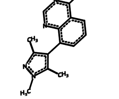 Cc1nn(C)c(C)c1-c1cccc2c(N)ncnc12